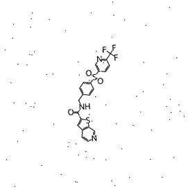 O=C(NCc1ccc(S(=O)(=O)c2ccc(C(F)(F)F)nc2)cc1)c1cc2ccncc2s1